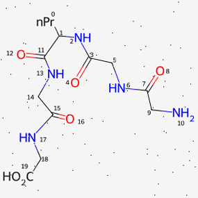 CCCC(NC(=O)CNC(=O)CN)C(=O)NCC(=O)NCC(=O)O